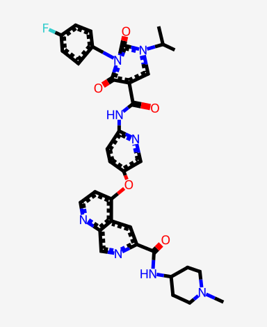 CC(C)n1cc(C(=O)Nc2ccc(Oc3ccnc4cnc(C(=O)NC5CCN(C)CC5)cc34)cn2)c(=O)n(-c2ccc(F)cc2)c1=O